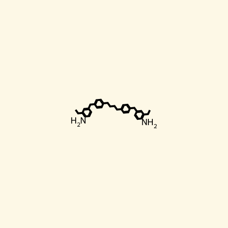 CCc1cc(Cc2ccc(CCCCc3ccc(Cc4ccc(N)c(CC)c4)cc3)cc2)ccc1N